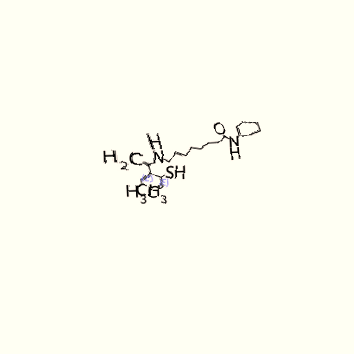 C=C(NCCCCCCCC(=O)NC1=CCCC=C1)C(=C/C)/C(S)=C\C